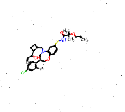 C=CCOC(C)(C)C(=O)NSc1ccc2c(c1)N(CC1CCC1C(O)C=C)CC(c1ccc(Cl)cc1CCC)CO2